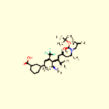 C=C(C/C(C(=C)C)=C(C(/C)=N\C)\C(=C/C(C)C1CCCC(C(=O)O)C1)C(F)(F)F)C[C@@H](C)N(CC(C)C)C(=O)OC(C)(C)C